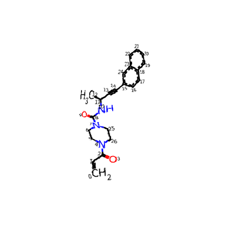 C=CC(=O)N1CCN(C(=O)NC(C)C#Cc2ccc3ccccc3c2)CC1